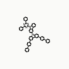 c1ccc(-c2ccc(-c3ccc4c(c3)c3cc(-c5ccc(-c6ccccc6)cc5)ccc3n4-c3ccc4c(c3)c3ccccc3n4-c3nc(-c4ccccc4)nc(-c4ccccc4)n3)cc2)cc1